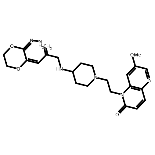 C=C(/C=C1/OCCO/C1=N/N)CNC1CCN(CCn2c(=O)ccc3ncc(OC)cc32)CC1